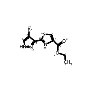 CCOC(=O)c1csc(-c2n[nH]cc2Br)n1